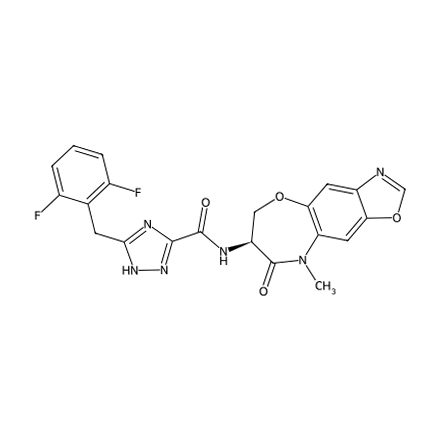 CN1C(=O)[C@@H](NC(=O)c2n[nH]c(Cc3c(F)cccc3F)n2)COc2cc3ncoc3cc21